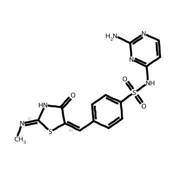 C/N=C1/NC(=O)/C(=C\c2ccc(S(=O)(=O)Nc3ccnc(N)n3)cc2)S1